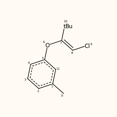 Cc1cccc(OC(=CCl)C(C)(C)C)c1